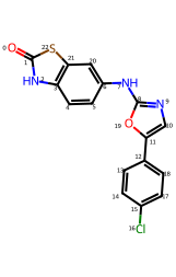 O=c1[nH]c2ccc(Nc3ncc(-c4ccc(Cl)cc4)o3)cc2s1